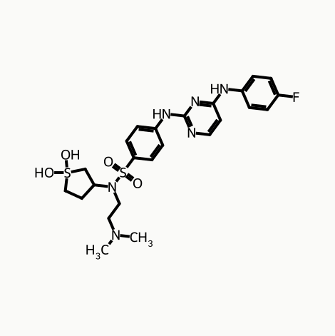 CN(C)CCN(C1CCS(O)(O)C1)S(=O)(=O)c1ccc(Nc2nccc(Nc3ccc(F)cc3)n2)cc1